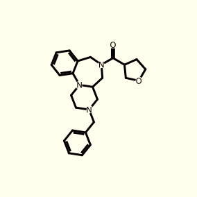 O=C(C1CCOC1)N1Cc2ccccc2N2CCN(Cc3ccccc3)CC2C1